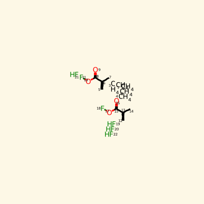 C.C.C.C.C.C=C(C)C(=O)OF.C=C(C)C(=O)OF.F.F.F.F